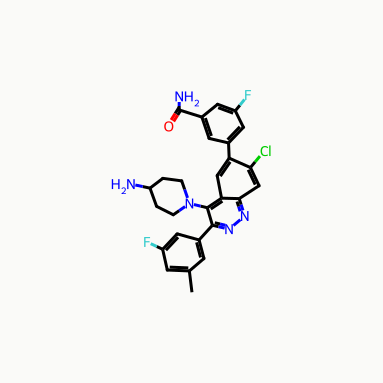 Cc1cc(F)cc(-c2nnc3cc(Cl)c(-c4cc(F)cc(C(N)=O)c4)cc3c2N2CCC(N)CC2)c1